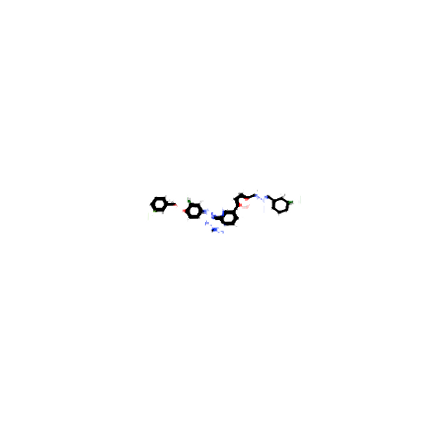 Fc1cccc(COc2ccc(Nc3ncnc4ccc(-c5ccc(CNCC6CCCC(Cl)C6)o5)cc34)cc2Cl)c1